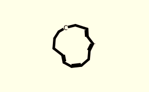 [C]1=C/C/C=C\C=C\CCCCC/C=C/1